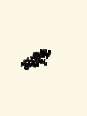 Nc1ncnc2c(-c3ccc(F)c(Cl)c3F)cc3c(c12)OC(c1ncn(C(F)F)n1)CO3